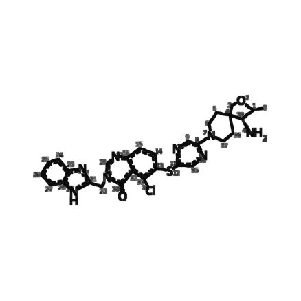 C[C@@H]1OCC2(CCN(c3cnc(Sc4ccc5ncn(Cc6nc7ccccc7[nH]6)c(=O)c5c4Cl)cn3)CC2)[C@@H]1N